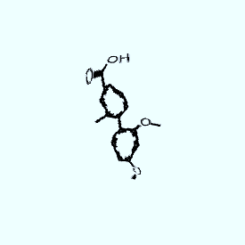 COc1ccc(-c2ccc(C(=O)O)cc2C)c(OC)c1